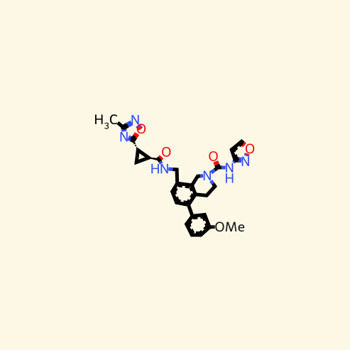 COc1cccc(-c2ccc(CNC(=O)[C@H]3C[C@@H]3c3nc(C)no3)c3c2CCN(C(=O)Nc2ccon2)C3)c1